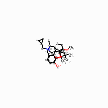 CO[C@]12CC[C@@]3(CC1C(C)(O)C(C)(C)C)[C@H]1Cc4ccc(O)c5c4[C@@]3(CCN1CC1CC1)[C@H]2O5